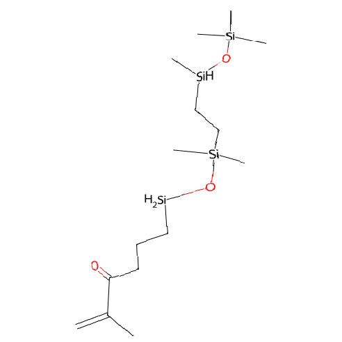 C=C(C)C(=O)CCC[SiH2]O[Si](C)(C)CC[SiH](C)O[Si](C)(C)C